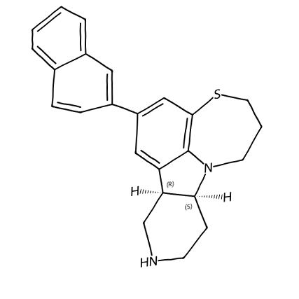 c1ccc2cc(-c3cc4c5c(c3)[C@@H]3CNCC[C@@H]3N5CCCS4)ccc2c1